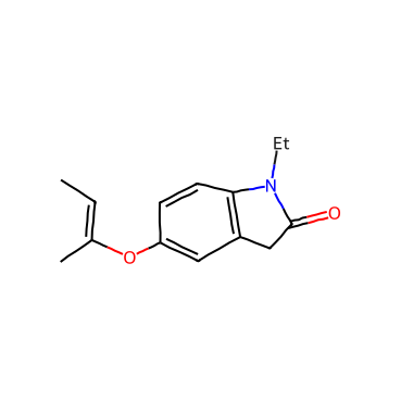 CC=C(C)Oc1ccc2c(c1)CC(=O)N2CC